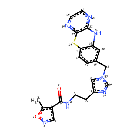 Cc1oncc1C(=O)NCCc1cn(Cc2ccc3c(c2)Nc2nccnc2S3)cn1